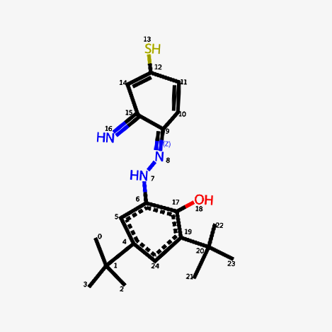 CC(C)(C)c1cc(N/N=C2/C=CC(S)=CC2=N)c(O)c(C(C)(C)C)c1